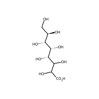 O=C(O)C(O)C(O)[C@H](O)[C@@H](O)[C@H](O)[C@H](O)CO